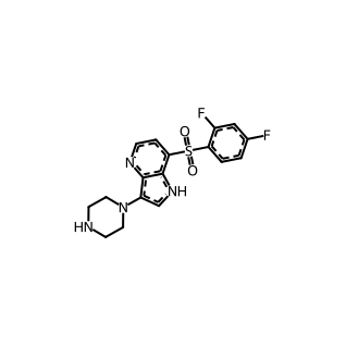 O=S(=O)(c1ccc(F)cc1F)c1ccnc2c(N3CCNCC3)c[nH]c12